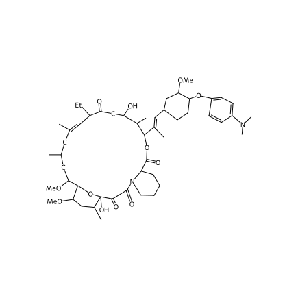 CCC1/C=C(\C)CC(C)CC(OC)C2OC(O)(C(=O)C(=O)N3CCCCC3C(=O)OC(C(C)=CC3CCC(Oc4ccc(N(C)C)cc4)C(OC)C3)C(C)C(O)CC1=O)C(C)CC2OC